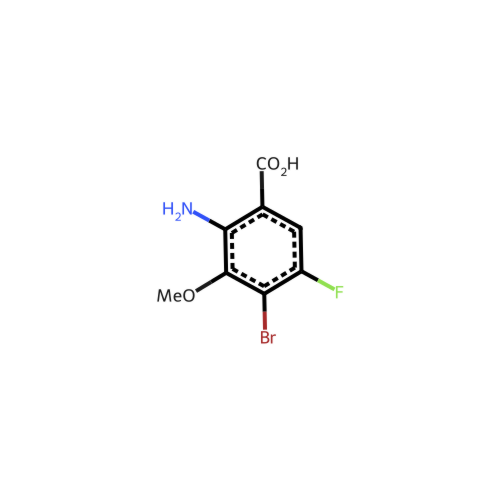 COc1c(N)c(C(=O)O)cc(F)c1Br